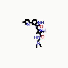 CCN(CC)CCNC(=O)c1c(C)[nH]c(/C=C2\C(=O)Nc3ccc(-c4ccc(C)cn4)cc32)c1C